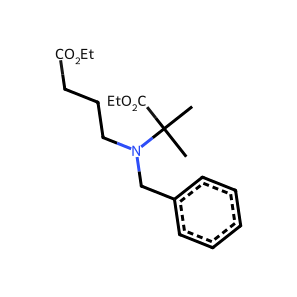 CCOC(=O)CCCN(Cc1ccccc1)C(C)(C)C(=O)OCC